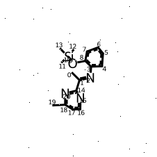 CC(=Nc1ccccc1O[Si](C)(C)C)c1nccc(C)n1